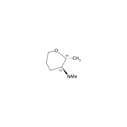 CN[C@H]1CCCO[C@@H]1C